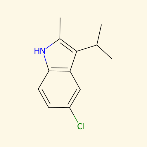 Cc1[nH]c2ccc(Cl)cc2c1C(C)C